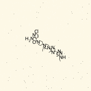 CCNc1nnc(-c2cnc(N3CCN(C4CCN(C(=O)c5ccc(Cl)nc5N)CC4)[C@@H](CC)C3)c(C)n2)s1